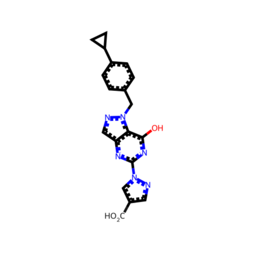 O=C(O)c1cnn(-c2nc(O)c3c(cnn3Cc3ccc(C4CC4)cc3)n2)c1